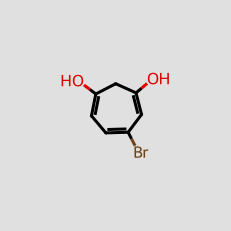 OC1=CC=C(Br)C=C(O)C1